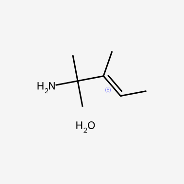 C/C=C(\C)C(C)(C)N.O